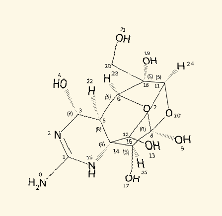 NC1=N[C@H](O)[C@H]2[C@@H]3O[C@@]4(O)O[C@@H](C(O)[C@@]2(N1)[C@@H]4O)[C@]3(O)CO